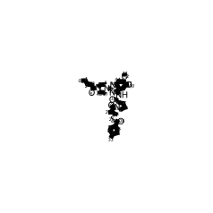 CCC=CC(=O)N1CCN(c2nc(NC(=O)[C@@H]3CCCN3C(=O)C(C)CSC(=O)c3ccc(C)cc3)c3cc(OC)c(OC)cc3n2)CC1